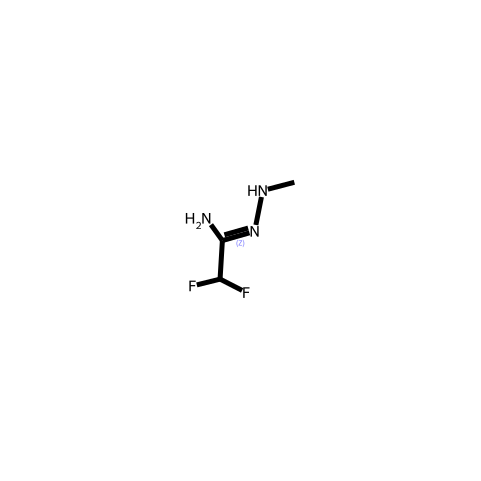 CN/N=C(\N)C(F)F